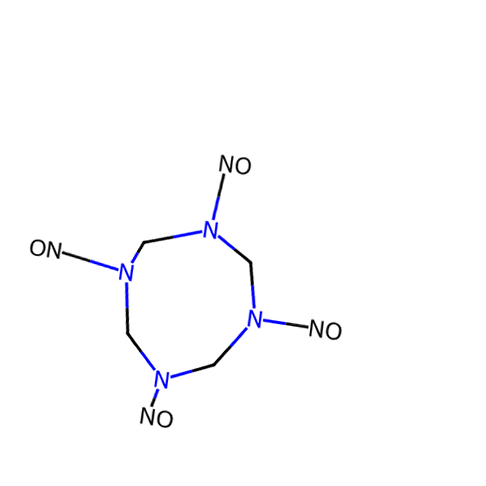 O=NN1CN(N=O)CN(N=O)CN(N=O)C1